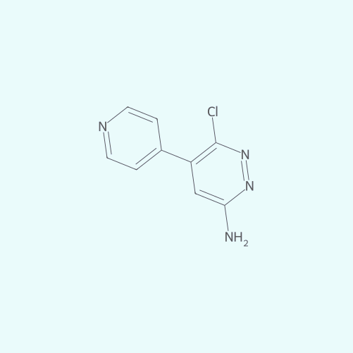 Nc1cc(-c2ccncc2)c(Cl)nn1